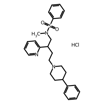 CN(CC(CCN1CCC(c2ccccc2)CC1)c1ccccn1)S(=O)(=O)c1ccccc1.Cl